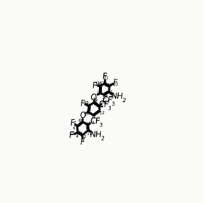 Nc1c(F)c(F)c(F)c(Oc2ccc(C(F)(F)F)c(Oc3c(F)c(F)c(F)c(N)c3C(F)(F)F)c2F)c1C(F)(F)F